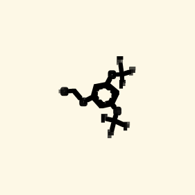 [O]COc1cc(OC(F)(F)F)cc(OC(F)(F)F)c1